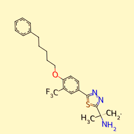 [CH2][C@@](C)(N)c1nnc(-c2ccc(OCCCCCc3ccccc3)c(C(F)(F)F)c2)s1